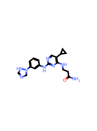 NC(=O)CCNc1nc(Nc2cccc(N3CN=CN3)c2)ncc1C1CC1